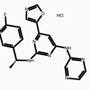 C[C@H](Nc1nc(Nc2cnccn2)cc(-c2cnco2)n1)c1ccc(F)cc1.Cl